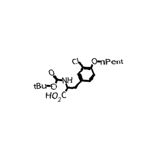 CCCCCOc1ccc(CC(NC(=O)OC(C)(C)C)C(=O)O)cc1Cl